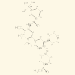 C=C/C(=C\C(=C(C)C)c1cnc(OC2CCN(C(C)=O)CC2)c(N2CCOCC2)c1)NC(=O)c1cccc(C(F)(F)F)c1